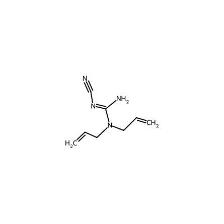 C=CCN(CC=C)C(N)=NC#N